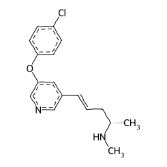 CN[C@@H](C)C/C=C/c1cncc(Oc2ccc(Cl)cc2)c1